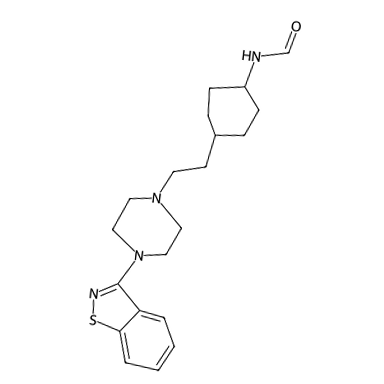 O=CNC1CCC(CCN2CCN(c3nsc4ccccc34)CC2)CC1